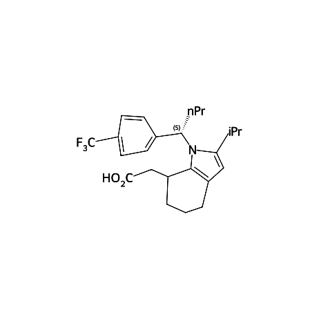 CCC[C@@H](c1ccc(C(F)(F)F)cc1)n1c(C(C)C)cc2c1C(CC(=O)O)CCC2